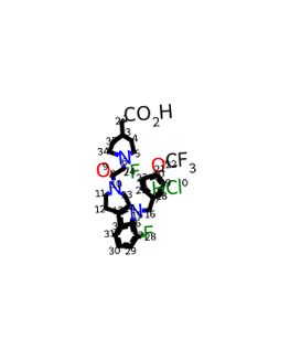 Cl.O=C(O)CC1CCN(CC(=O)N2CCc3c(n(Cc4ccc(OC(F)(F)F)c(F)c4)c4c(F)cccc34)C2)CC1